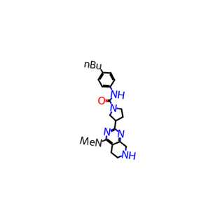 CCCCc1ccc(NC(=O)N2CCC(c3nc4c(c(NC)n3)CCNC4)C2)cc1